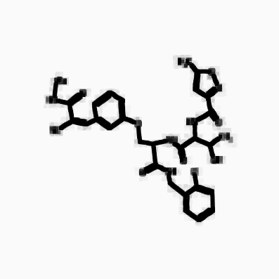 Cc1cc(C(=O)NC(C(=O)NC(COc2cccc(C=C(C#N)C(=O)NC(C)(C)C)c2)C(=O)NCc2ccccc2Cl)C(C)O)no1